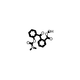 CN(C)C(=O)Oc1ccccc1C(=O)c1ccccc1C(=O)OO